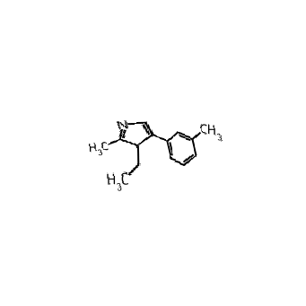 CCC1C(c2cccc(C)c2)=CN=C1C